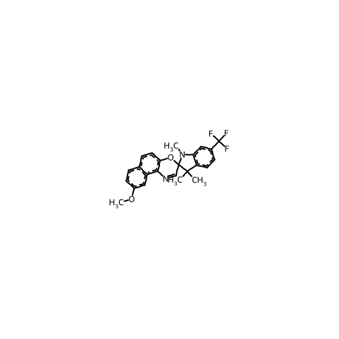 COc1ccc2ccc3c(c2c1)N=CC1(O3)N(C)c2cc(C(F)(F)F)ccc2C1(C)C